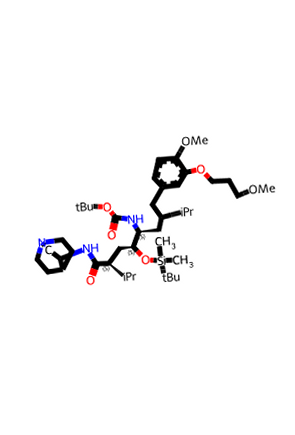 COCCCOc1cc(CC(C[C@H](NC(=O)OC(C)(C)C)[C@H](C[C@H](C(=O)NC2CN3CCC2CC3)C(C)C)O[Si](C)(C)C(C)(C)C)C(C)C)ccc1OC